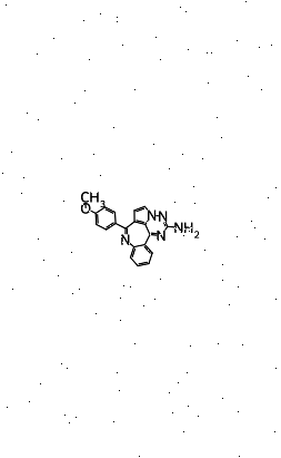 COc1ccc(C2=Nc3ccccc3-c3nc(N)nn4ccc2c34)cc1